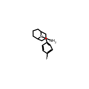 NC1CC2CCCC(C1)N2Cc1ccc(F)cc1